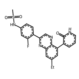 CCc1cc(-c2ccc[nH]c2=O)c2ncc(-c3ccc(NS(C)(=O)=O)cc3F)nc2c1